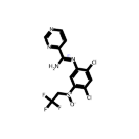 N/C(=N\c1cc([S+]([O-])CC(F)(F)F)c(Cl)cc1Cl)c1ccncn1